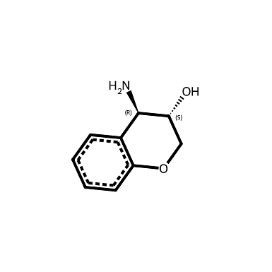 N[C@@H]1c2ccccc2OC[C@H]1O